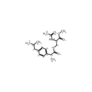 COC(=O)[C@@H](CSC(=O)[C@H](C)c1ccc(CC(C)C)cc1)NC(C)=O